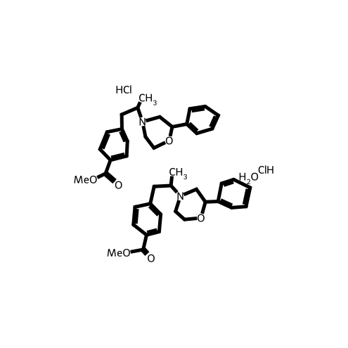 COC(=O)c1ccc(CC(C)N2CCOC(c3ccccc3)C2)cc1.COC(=O)c1ccc(CC(C)N2CCOC(c3ccccc3)C2)cc1.Cl.Cl.O